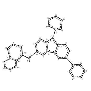 c1ccc(-c2ccc3c(c2)c2cc(Nc4cccc5ccccc45)ccc2n3-c2ccccc2)cc1